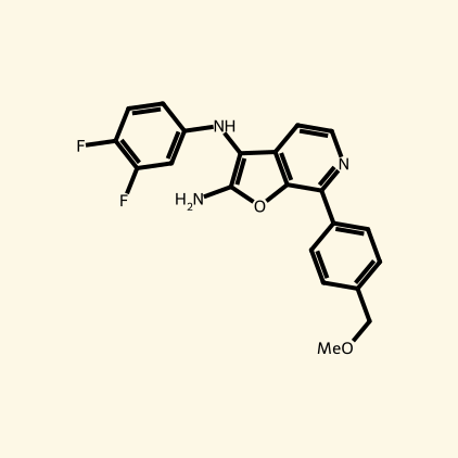 COCc1ccc(-c2nccc3c(Nc4ccc(F)c(F)c4)c(N)oc23)cc1